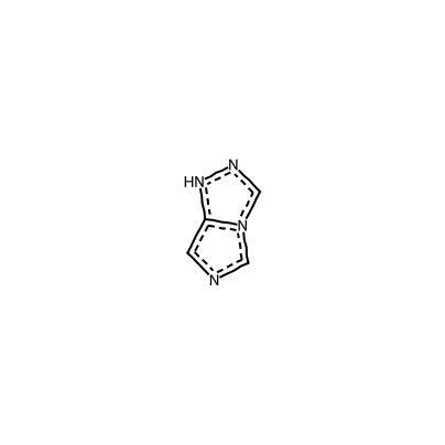 c1ncn2cn[nH]c12